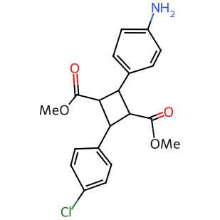 COC(=O)C1C(c2ccc(N)cc2)C(C(=O)OC)C1c1ccc(Cl)cc1